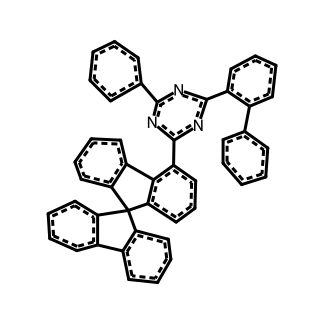 c1ccc(-c2nc(-c3ccccc3-c3ccccc3)nc(-c3cccc4c3-c3ccccc3C43c4ccccc4-c4ccccc43)n2)cc1